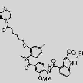 CCOC(=O)c1cc2c(C(=O)Nc3ccc(C(=O)N(C)c4ccc(C)cc4OCCCCCC(=O)N4CCN(C)CC4)cc3OC)cccc2[nH]1